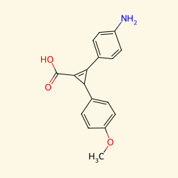 COc1ccc(C2C(C(=O)O)=C2c2ccc(N)cc2)cc1